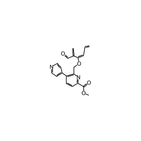 C=C/C=C(/OCc1nc(C(=O)OC)ccc1-c1ccncc1)C(=C)C=O